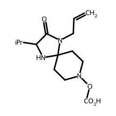 C=CCN1C(=O)C(C(C)C)NC12CCN(OC(=O)O)CC2